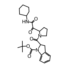 CC(C)(C)OC(=O)N1c2ccccc2CC1C(=O)N1CCCC1C(=O)C(=O)NC1CCCCC1